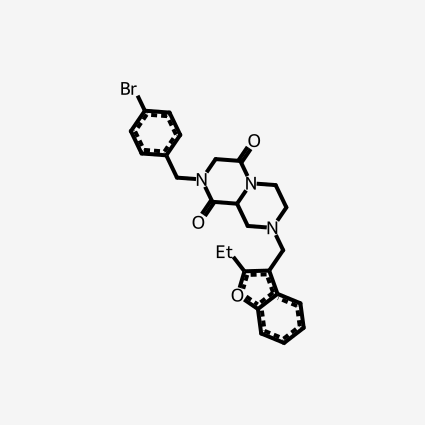 CCc1oc2ccccc2c1CN1CCN2C(=O)CN(Cc3ccc(Br)cc3)C(=O)C2C1